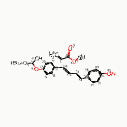 C=CC(=O)OC(C)(C)C.CC(C)COC(C)Oc1ccc(C=CC=Cc2ccc(O)cc2)cc1